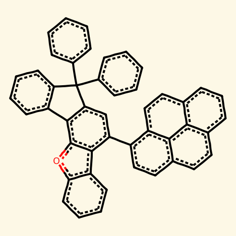 c1ccc(C2(c3ccccc3)c3ccccc3-c3c2cc(-c2ccc4ccc5cccc6ccc2c4c56)c2c3oc3ccccc32)cc1